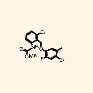 CCc1cc(F)c(OCc2c(Cl)cccc2NC(=O)OC)cc1C